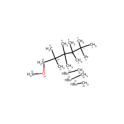 CC(C)C(C)(C)C(C)(C)C(C)(C)C(C)(C)[SiH2]O[SiH3].CCCCC.CCCCC.CCCCC